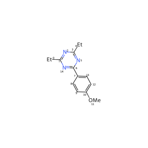 CCc1nc(CC)nc(-c2ccc(OC)cc2)n1